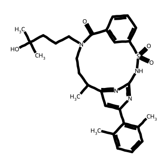 Cc1cccc(C)c1-c1cc2nc(n1)NS(=O)(=O)c1cccc(c1)C(=O)N(CCCC(C)(C)O)CCC2C